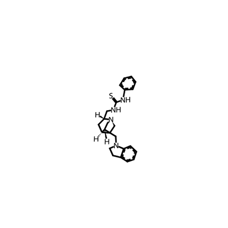 S=C(NC[C@H]1C[C@@H]2CC[N@@]1C[C@@H]2CN1CCc2ccccc21)Nc1ccccc1